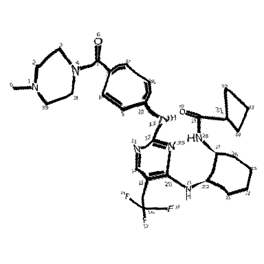 CN1CCN(C(=O)c2ccc(Nc3ncc(C(F)(F)F)c(N[C@@H]4CCCC[C@@H]4NC(=O)C4CCC4)n3)cc2)CC1